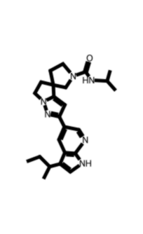 CCC(C)c1c[nH]c2ncc(-c3cc4n(n3)CCC43CCN(C(=O)NC(C)C)C3)cc12